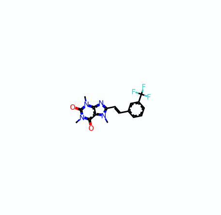 Cn1c(=O)c2c(nc(C=Cc3cccc(C(F)(F)F)c3)n2C)n(C)c1=O